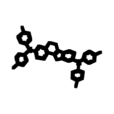 Cc1ccc(N(c2ccc(C)cc2)c2ccc3c(c2)CCC2=C3Cc3cc(N(c4ccc(C)cc4)c4ccc(C)cc4)ccc32)cc1